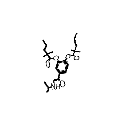 CCCC(C)(C)C(=O)Oc1ccc(C(=O)CNC(C)C)cc1OC(=O)C(C)(C)CCC